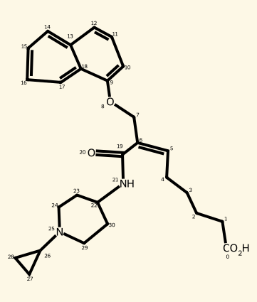 O=C(O)CCCCC=C(COc1cccc2ccccc12)C(=O)NC1CCN(C2CC2)CC1